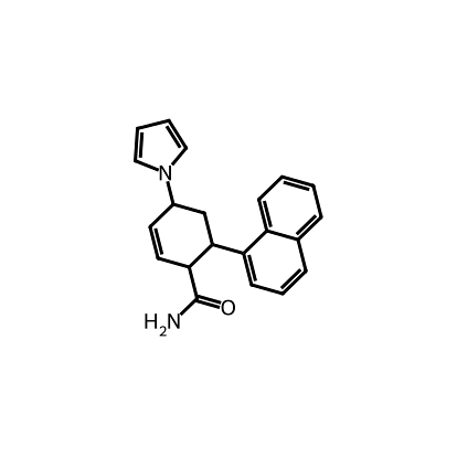 NC(=O)C1C=CC(n2cccc2)CC1c1cccc2ccccc12